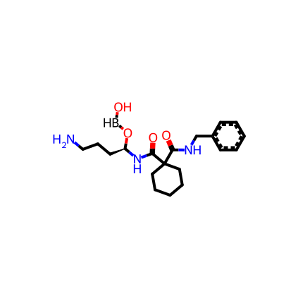 NCCC[C@H](NC(=O)C1(C(=O)NCc2ccccc2)CCCCC1)OBO